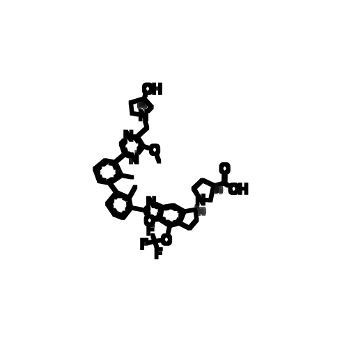 COc1nc(-c2cccc(-c3cccc(-c4nc5cc6c(c(OC(F)(F)F)c5o4)CC[C@H]6N4CC[C@@H](C(=O)O)C4)c3C)c2C)cnc1CN1CC[C@@H](O)C1